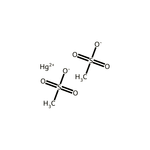 CS(=O)(=O)[O-].CS(=O)(=O)[O-].[Hg+2]